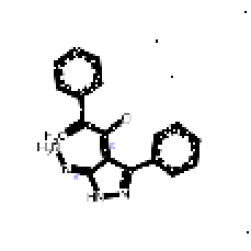 C=C(/C(Cl)=C1/C(c2ccccc2)=NN/C1=N/N)c1ccccc1